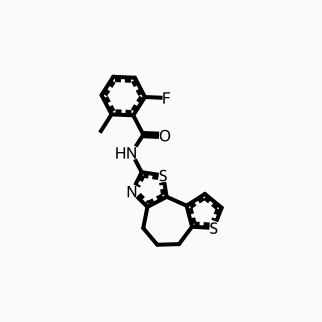 Cc1cccc(F)c1C(=O)Nc1nc2c(s1)-c1ccsc1CCC2